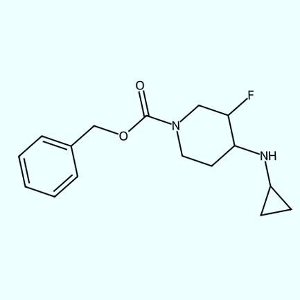 O=C(OCc1ccccc1)N1CCC(NC2CC2)C(F)C1